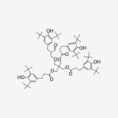 CC(C)(C)c1cc(CCC(=O)OCC(COCC(C=O)Cc2cc(C(C)(C)C)c(O)c(C(C)(C)C)c2)(COC(=O)CCc2cc(C(C)(C)C)c(O)c(C(C)(C)C)c2)COC(=O)CCc2cc(C(C)(C)C)c(O)c(C(C)(C)C)c2)cc(C(C)(C)C)c1O